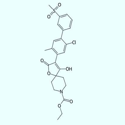 CCOC(=O)N1CCC2(CC1)OC(=O)C(c1cc(Cl)c(-c3cccc(S(C)(=O)=O)c3)cc1C)=C2O